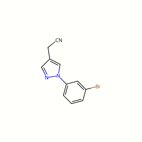 N#CCc1cnn(-c2cccc(Br)c2)c1